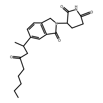 CCCCCC(=O)CC(C)c1ccc2c(c1)C(=O)N(C1CCC(=O)NC1=O)C2